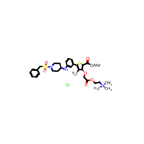 COC(=O)c1sc(-c2cccc(NC3CCN(S(=O)(=O)Cc4ccccc4)CC3)c2)c(C)c1OCC(=O)OCC[N+](C)(C)C.[Cl-]